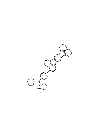 CC1(C)CCC2c3cc(-c4ccc5c6cc7c(cc6c6cccc4c65)c4cccc5cccc7c54)ccc3N(c3ccccc3)C21C